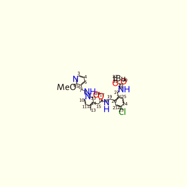 COc1ncccc1CNn1ccc(C)c(CC(=O)NCc2cc(Cl)ccc2CNC(=O)OC(C)(C)C)c1=O